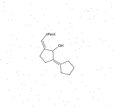 CCCCCC=C1CCC(=C2CCCC2)C1O